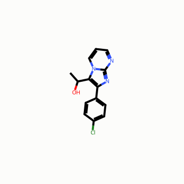 CC(O)c1c(-c2ccc(Cl)cc2)nc2ncccn12